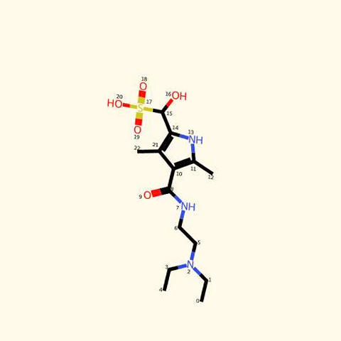 CCN(CC)CCNC(=O)c1c(C)[nH]c(C(O)S(=O)(=O)O)c1C